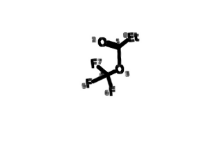 CCC(=O)OC(F)(F)F